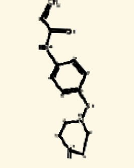 C=CC(=O)Nc1ccc(SN2CCNCC2)cc1